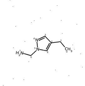 CCc1cnn(CN)c1